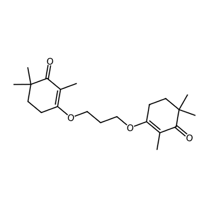 CC1=C(OCCCOC2=C(C)C(=O)C(C)(C)CC2)CCC(C)(C)C1=O